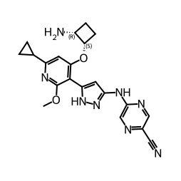 COc1nc(C2CC2)cc(O[C@H]2CC[C@H]2N)c1-c1cc(Nc2cnc(C#N)cn2)n[nH]1